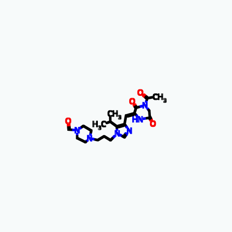 CC(=O)N1CC(=O)N/C(=C\c2ncn(CCCN3CCN(C=O)CC3)c2C(C)C)C1=O